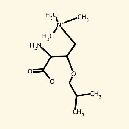 CC(C)COC(C[N+](C)(C)C)C(N)C(=O)[O-]